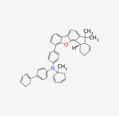 CC1(C)c2ccc3c(oc4c(-c5ccc(N(c6ccc(C7=CC=CCC7)cc6)C6(C)C=CC=CC6)cc5)cccc43)c2[C@H]2CCC=CC21